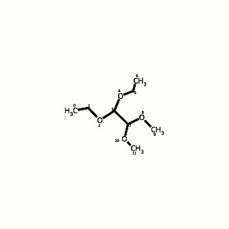 CCOC(OCC)C(OC)OC